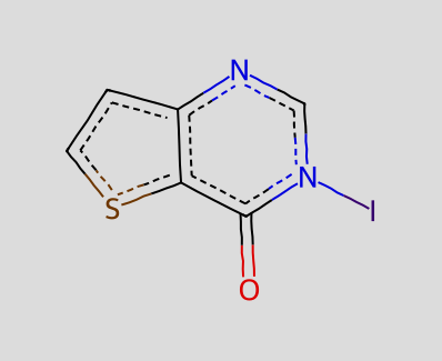 O=c1c2sccc2ncn1I